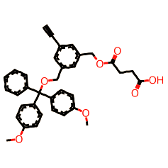 C#Cc1cc(COC(=O)CCC(=O)O)cc(COC(c2ccccc2)(c2ccc(OC)cc2)c2ccc(OC)cc2)c1